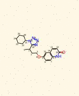 CC(CCOc1ccc2[nH]c(=O)ccc2c1)c1nnnn1C1CCCCC1